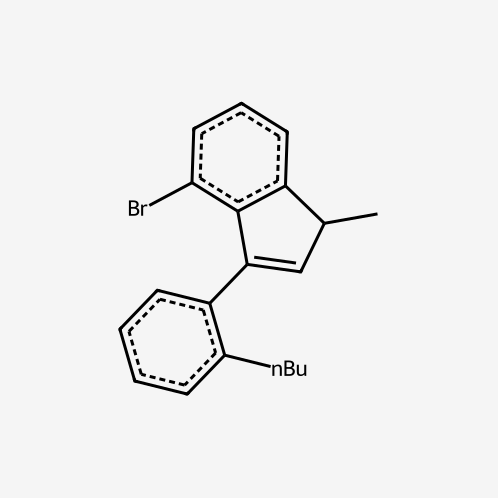 CCCCc1ccccc1C1=CC(C)c2cccc(Br)c21